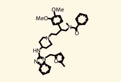 COc1ccc(C(CCN2CCC(Nc3nc4ccccc4n3Cc3ccc(C)o3)CC2)CN(C)C(=O)c2ccccc2)cc1OC